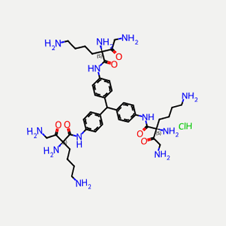 Cl.NCCCC[C@](N)(C(=O)CN)C(=O)Nc1ccc(C(c2ccc(NC(=O)[C@](N)(CCCCN)C(=O)CN)cc2)c2ccc(NC(=O)[C@](N)(CCCCN)C(=O)CN)cc2)cc1